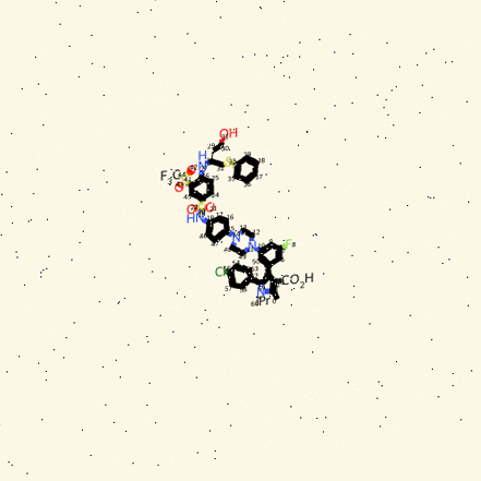 Cc1c(C(=O)O)c(-c2cc(F)cc(N3CCN(c4ccc(NS(=O)(=O)c5ccc(N[C@H](CCO)CSc6ccccc6)c(S(=O)(=O)C(F)(F)F)c5)cc4)CC3)c2)c(-c2ccc(Cl)cc2)n1C(C)C